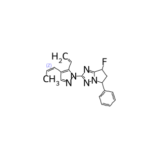 C=Cc1c(/C=C\C)cnn1-c1nc2n(n1)C(c1ccccc1)CC2F